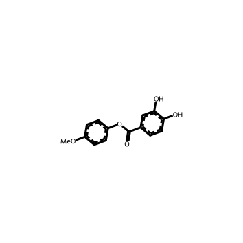 COc1ccc(OC(=O)c2ccc(O)c(O)c2)cc1